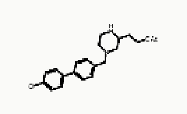 CC(=O)OCCC1CN(Cc2ccc(-c3ccc(Cl)cc3)cc2)CCN1